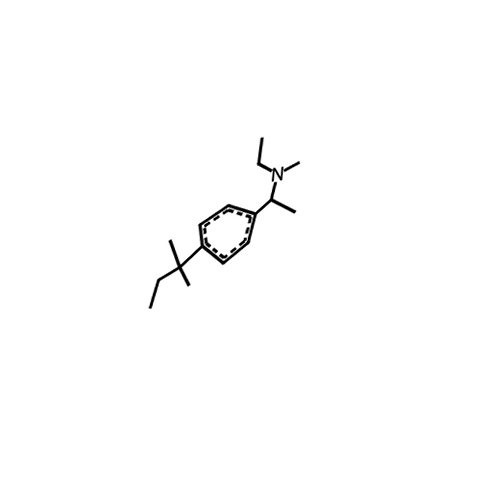 CCN(C)C(C)c1ccc(C(C)(C)CC)cc1